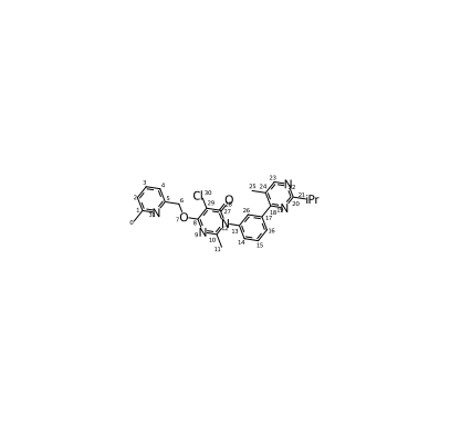 Cc1cccc(COc2nc(C)n(-c3cccc(-c4nc(C(C)C)ncc4C)c3)c(=O)c2Cl)n1